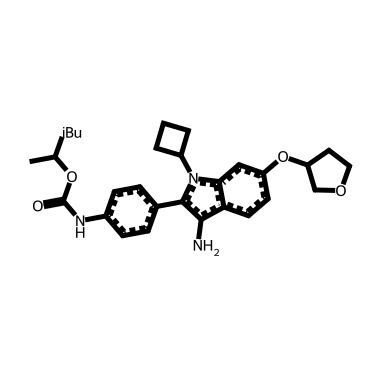 CCC(C)C(C)OC(=O)Nc1ccc(-c2c(N)c3ccc(OC4CCOC4)cc3n2C2CCC2)cc1